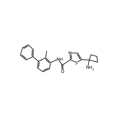 Cc1c(NC(=O)c2ncc(C3(N)CCC3)s2)cccc1-c1ccccc1